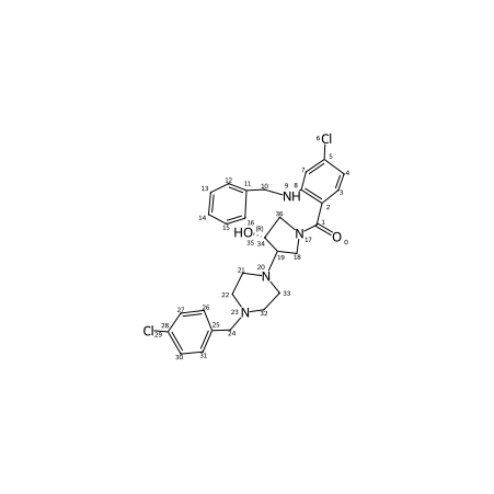 O=C(c1ccc(Cl)cc1NCc1ccccc1)N1CC(N2CCN(Cc3ccc(Cl)cc3)CC2)[C@H](O)C1